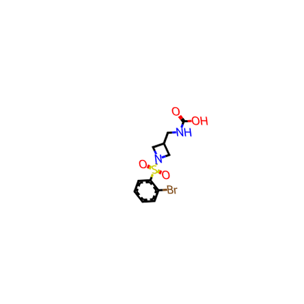 O=C(O)NCC1CN(S(=O)(=O)c2ccccc2Br)C1